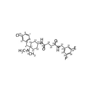 CN(C)C1(Cc2cccc(Cl)c2)CCC(NC(=O)CCC(=O)NCc2cc(F)cc(F)c2)CC1